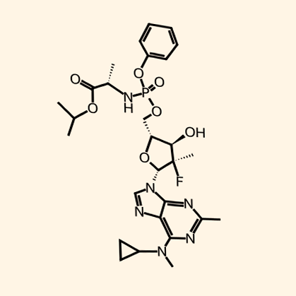 Cc1nc(N(C)C2CC2)c2ncn([C@@H]3O[C@H](COP(=O)(N[C@@H](C)C(=O)OC(C)C)Oc4ccccc4)[C@@H](O)[C@@]3(C)F)c2n1